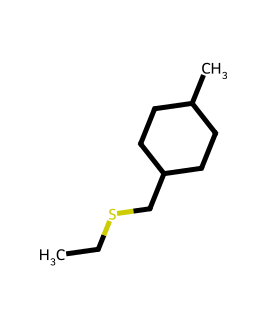 CCSCC1CCC(C)CC1